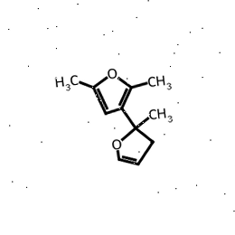 Cc1cc(C2(C)CC=CO2)c(C)o1